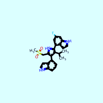 CC(C)c1c(-c2cc(F)cc3[nH]ccc23)[nH]c(CS(C)(=O)=O)c1-c1cccc2[nH]ccc12